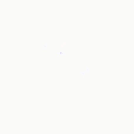 Cc1cnsc1C(=O)Nc1scc(-c2cnn(-c3ccc(Cl)cc3)c2)c1C(=O)O